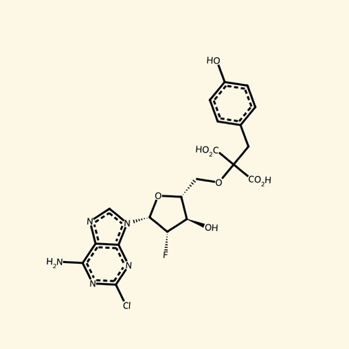 Nc1nc(Cl)nc2c1ncn2[C@@H]1O[C@H](COC(Cc2ccc(O)cc2)(C(=O)O)C(=O)O)[C@@H](O)[C@@H]1F